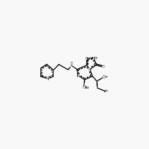 CCCCc1nc(NCCc2cccnc2)c2n[nH]c(=O)n2c1C(O)CC(C)C